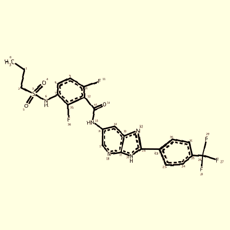 CCCS(=O)(=O)Nc1ccc(F)c(C(=O)Nc2cnc3[nH]c(-c4ccc(C(F)(F)F)cc4)nc3c2)c1F